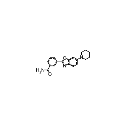 NC(=O)c1cccc(-c2nc3ccc(N4CCCCC4)cc3o2)c1